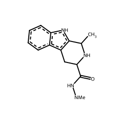 CNNC(=O)C1Cc2c([nH]c3ccccc23)C(C)N1